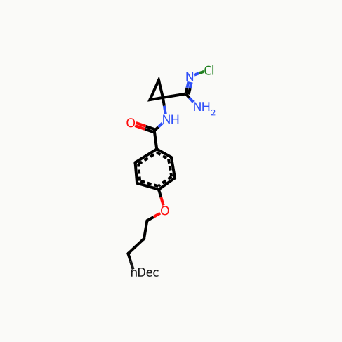 CCCCCCCCCCCCCOc1ccc(C(=O)NC2(/C(N)=N/Cl)CC2)cc1